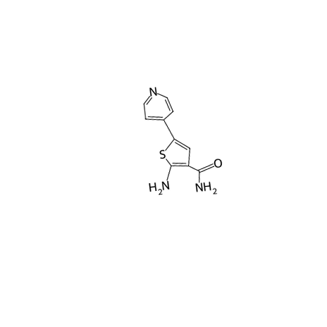 NC(=O)c1cc(-c2ccncc2)sc1N